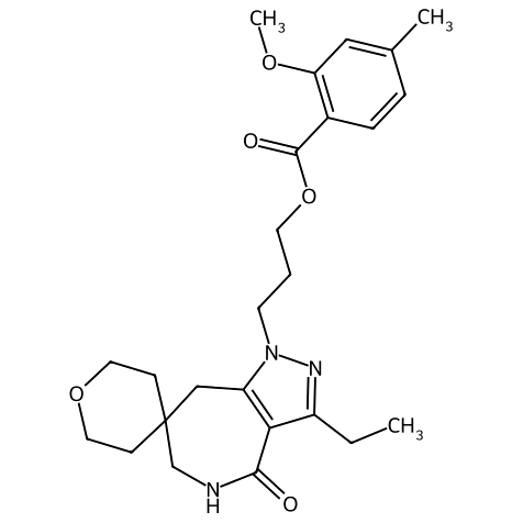 CCc1nn(CCCOC(=O)c2ccc(C)cc2OC)c2c1C(=O)NCC1(CCOCC1)C2